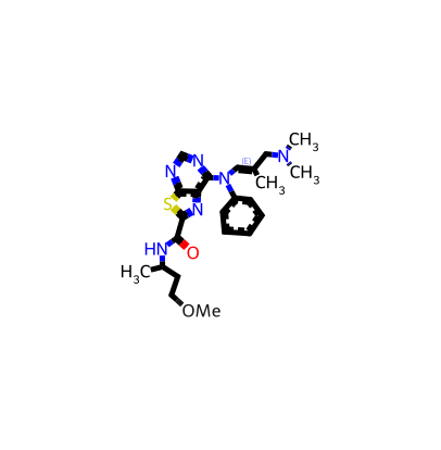 COCCC(C)NC(=O)c1nc2c(N(/C=C(\C)CN(C)C)c3ccccc3)ncnc2s1